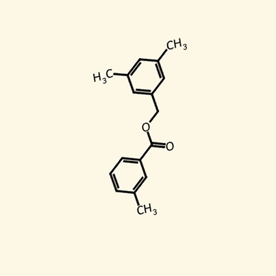 Cc1cc(C)cc(COC(=O)c2cccc(C)c2)c1